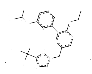 CCOc1ncc(Cn2cnc(C(F)(F)F)n2)nc1-c1cccc(OC(F)F)c1